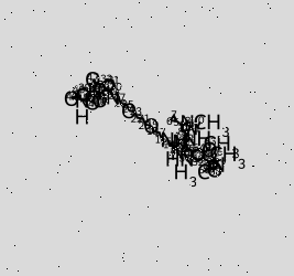 CCn1nc(C2CC2)cc1Nc1nc(CNCCCOCCCCOCCCNc2cccc3c2C(=O)N(C2CCC(=O)NC2=O)C3=O)nc2[nH]c3cc(-c4c(C)noc4C)c(OC)cc3c12